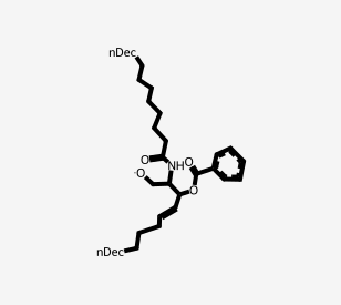 CCCCCCCCCCCCCC=CC(OC(=O)c1ccccc1)C(C[O])NC(=O)CCCCCCCCCCCCCCCCC